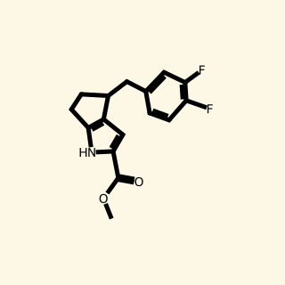 COC(=O)c1cc2c([nH]1)CCC2Cc1ccc(F)c(F)c1